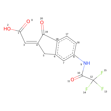 O=C(O)C=C1Cc2cc(NC(=O)C(F)(F)F)ccc2C1=O